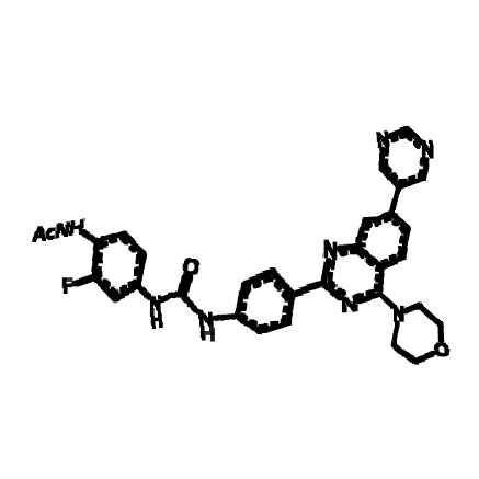 CC(=O)Nc1ccc(NC(=O)Nc2ccc(-c3nc(N4CCOCC4)c4ccc(-c5cncnc5)cc4n3)cc2)cc1F